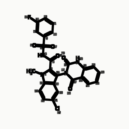 Cn1c(C(=O)NS(=O)(=O)c2cccc(F)c2)c(-n2c(=O)[nH]c3ccccc3c2=O)c2cc(Cl)ccc21